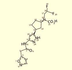 O=C(Cc1ccno1)Nc1cc([C@H]2CC[C@@H](N(CC(F)F)C(=O)O)C2)[nH]n1